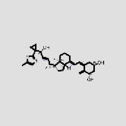 C=C1/C(=C\C=C2/CCC[C@]3(C)[C@@H]([C@H](C)/C=C/[C@@H](O)C4(c5ncc(C)s5)CC4)CC[C@@H]23)C[C@@H](O)C[C@@H]1O